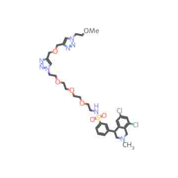 COCCn1cc(COCc2cn(CCOCCOCCOCCNS(=O)(=O)c3cccc(C4CN(C)Cc5c(Cl)cc(Cl)cc54)c3)nn2)nn1